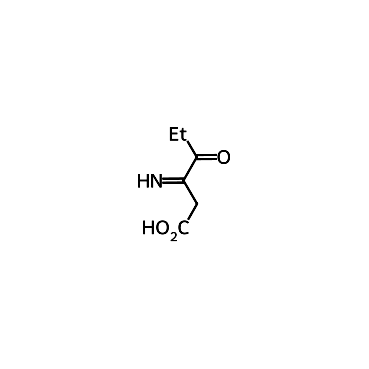 CCC(=O)C(=N)CC(=O)O